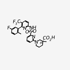 Cc1ccc(F)cc1-c1nc(NS(=O)(=O)c2cccc(N3CCC[C@@](C)(C(=O)O)C3)n2)ccc1C(F)(F)F